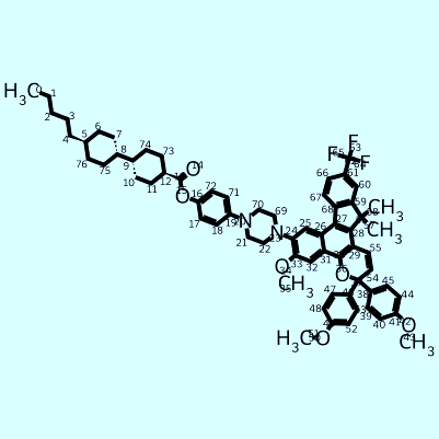 CCCCC[C@H]1CC[C@H]([C@H]2CC[C@H](C(=O)Oc3ccc(N4CCN(c5cc6c7c(c8c(c6cc5OC)OC(c5ccc(OC)cc5)(c5ccc(OC)cc5)C=C8)C(C)(C)c5cc(C(F)(F)F)ccc5-7)CC4)cc3)CC2)CC1